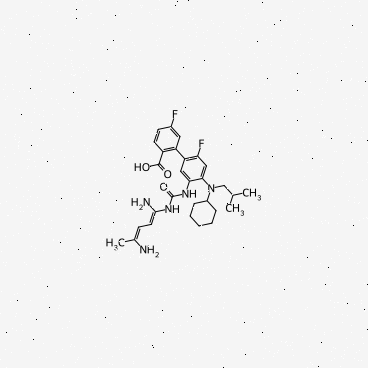 C/C(N)=C/C=C(\N)NC(=O)Nc1cc(-c2cc(F)ccc2C(=O)O)c(F)cc1N(CC(C)C)C1CCCCC1